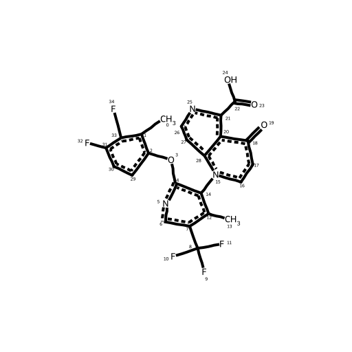 Cc1c(Oc2ncc(C(F)(F)F)c(C)c2-n2ccc(=O)c3c(C(=O)O)nccc32)ccc(F)c1F